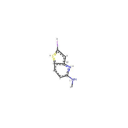 CNc1ccc2sc(I)cc2n1